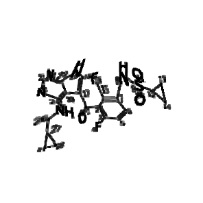 O=C(c1c(F)ccc(NS(=O)(=O)C2CC2)c1F)c1c[nH]c2ncnc(NCC3CC3)c12